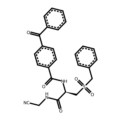 N#CCNC(=O)[C@H](CS(=O)(=O)Cc1ccccc1)NC(=O)c1ccc(C(=O)c2ccccc2)cc1